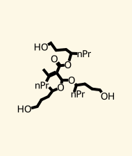 CCCC(CCCO)OC(=O)C(=C(C)C)C(OC(CCC)CCCO)OC(CCC)CCCO